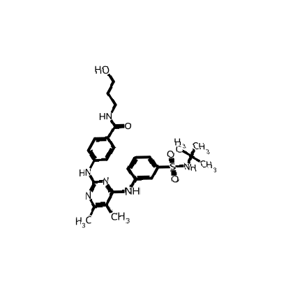 Cc1nc(Nc2ccc(C(=O)NCCCO)cc2)nc(Nc2cccc(S(=O)(=O)NC(C)(C)C)c2)c1C